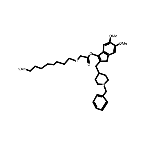 CCCCCCCCCCCCCCCCCCOCC(=O)OC1=C(CC2CCN(Cc3ccccc3)CC2)Cc2cc(OC)c(OC)cc21